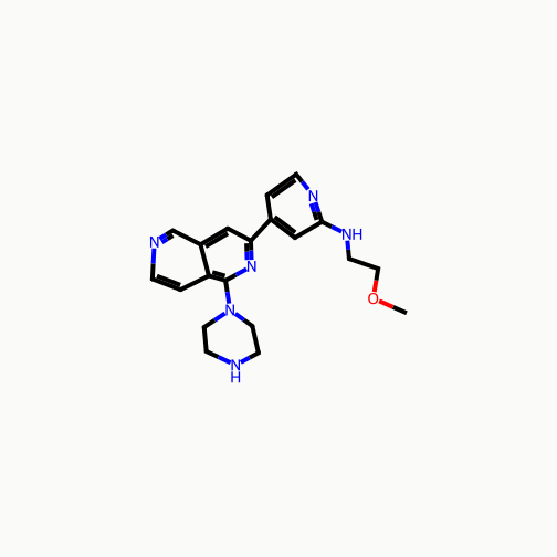 COCCNc1cc(-c2cc3cnccc3c(N3CCNCC3)n2)ccn1